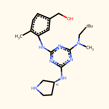 Cc1ccc(CO)cc1Nc1nc(N[C@H]2CCNC2)nc(N(C)CC(C)(C)C)n1